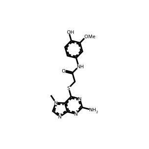 COc1cc(NC(=O)CSc2nc(N)nc3ncn(C)c23)ccc1O